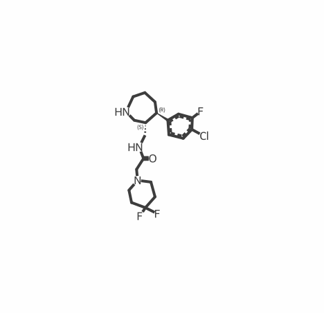 O=C(CN1CCC(F)(F)CC1)NC[C@@H]1CNCCC[C@H]1c1ccc(Cl)c(F)c1